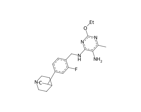 CCOc1nc(C)c(N)c(NCc2ccc(C3CN4CCC3CC4)cc2F)n1